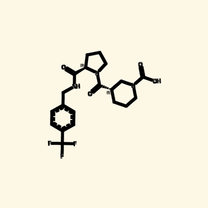 O=C(NCc1ccc(C(F)(F)F)cc1)[C@H]1CCCN1C(=O)[C@H]1CCCN(C(=O)O)C1